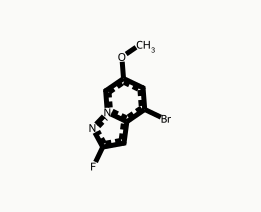 COc1cc(Br)c2cc(F)nn2c1